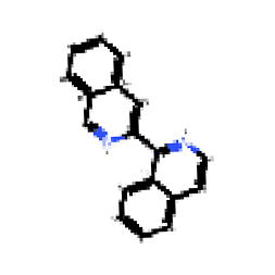 [c]1nc(-c2nccc3ccccc23)cc2ccccc12